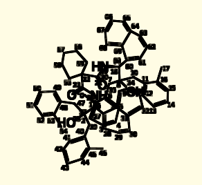 Cc1ccccc1CC(O)(Cc1ccccc1C)[C@@H](NC(=O)C1(C(=O)N[C@@H](c2cccc3ccccc23)C(O)(Cc2ccccc2C)Cc2ccccc2C)CCCCC1)c1cccc2ccccc12